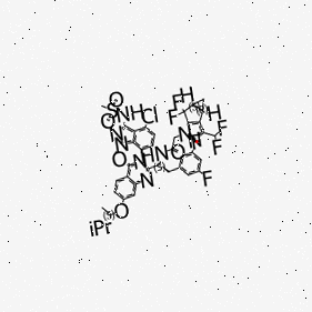 CC(C)[C@H](C)Oc1ccc2c(=O)n(-c3ccc(Cl)c4c(NS(C)(=O)=O)nn(C)c34)c([C@H](Cc3cc(F)cc(F)c3)NC(=O)Cn3nc(C(F)F)c4c3C(F)(F)[C@H]3C[C@@H]43)nc2c1